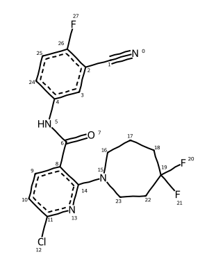 N#Cc1cc(NC(=O)c2ccc(Cl)nc2N2CCCC(F)(F)CC2)ccc1F